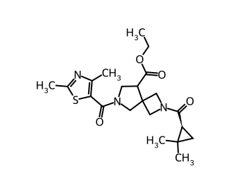 CCOC(=O)C1CN(C(=O)c2sc(C)nc2C)CC12CN(C(=O)[C@H]1CC1(C)C)C2